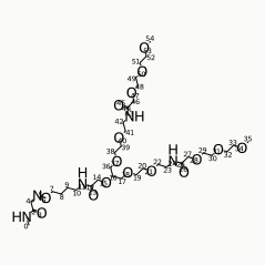 CNC(=O)/C=N\OCCCCNC(=O)COC(COCCOCCNC(=O)COCCOCCOC)COCCOCCNC(=O)COCCOCCOC